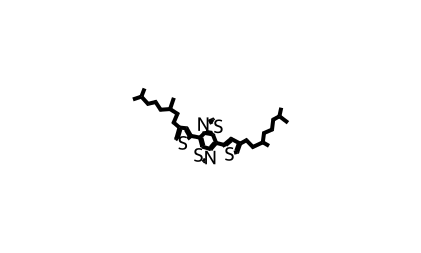 CC(C)CCCC(C)CCc1csc(-c2c3ncsc3c(-c3cc(CCC(C)CCCC(C)C)cs3)c3ncsc23)c1